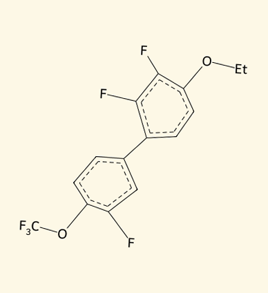 CCOc1ccc(-c2ccc(OC(F)(F)F)c(F)c2)c(F)c1F